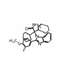 COc1ccc(-c2nc3ccccc3n2C(C(N)=O)(C2CCCCC2)C2CCCCC2)cc1F